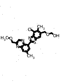 COCc1cnc2c(-c3nc4c(Cl)c(C)c(COCO)cc4s3)cc(C)cc2n1